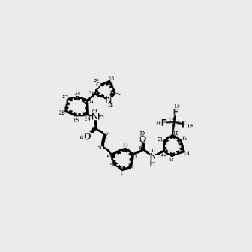 O=C(C=Cc1cccc(C(=O)Nc2cccc(C(F)(F)F)c2)c1)Nc1ccccc1-c1nccs1